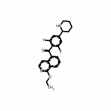 CCOc1nccc2c(C(=O)c3c(F)cc(C4CCCCN4)cc3F)cccc12